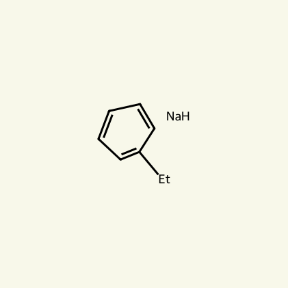 CCc1ccccc1.[NaH]